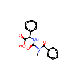 CN(C(=O)NC(C(=O)O)c1ccccc1)C(=O)c1ccccc1